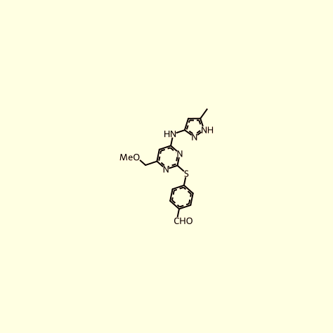 COCc1cc(Nc2cc(C)[nH]n2)nc(Sc2ccc(C=O)cc2)n1